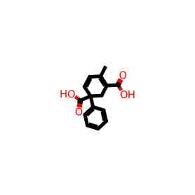 CC1=C(C(=O)O)CC(C(=O)O)(c2ccccc2)C=C1